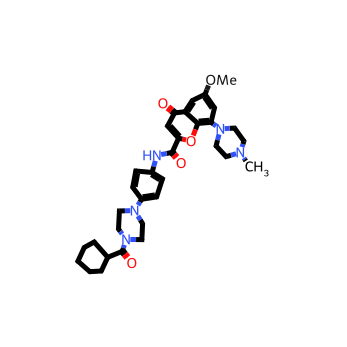 COc1cc(N2CCN(C)CC2)c2oc(C(=O)Nc3ccc(N4CCN(C(=O)C5CCCCC5)CC4)cc3)cc(=O)c2c1